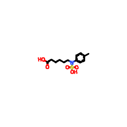 Cc1ccc(N(CCCCCC(=O)O)S(=O)(=O)O)cc1